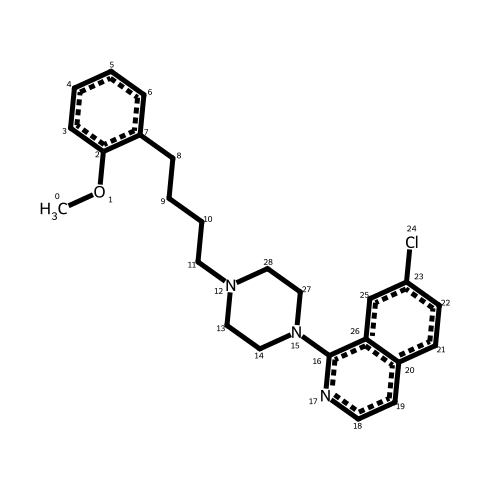 COc1ccccc1CCCCN1CCN(c2nccc3ccc(Cl)cc23)CC1